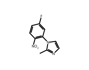 Cc1nccn1-c1cc(F)ccc1[N+](=O)[O-]